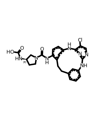 O=C(O)N[C@@H]1CCN(C(=O)Nc2ccc3cc2CCc2cccc(c2)Nc2ncc(Cl)c(n2)N3)C1